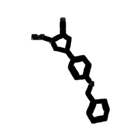 CON1CC(c2ccc(OCc3ccccc3)cc2)CC1=O